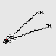 CCCCCCCCCCCCCCCCCC[PH]1(O)OC23CCCC2(O1)O[PH](O)(CCCCCCCCCCCCCCCCCC)O3